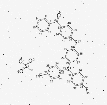 CS(=O)(=O)[O-].O=C(c1ccccc1)c1ccc(Sc2ccc([S+](c3ccc(F)cc3)c3ccc(F)cc3)cc2)cc1